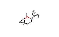 CC[SiH2]C1CCC2CC2O1